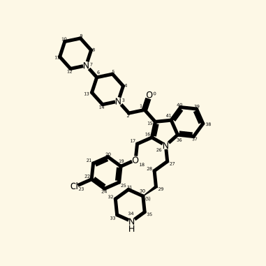 O=C(CN1CCC(N2CCCCC2)CC1)c1c(COc2ccc(Cl)cc2)n(CCC[C@@H]2CCCNC2)c2ccccc12